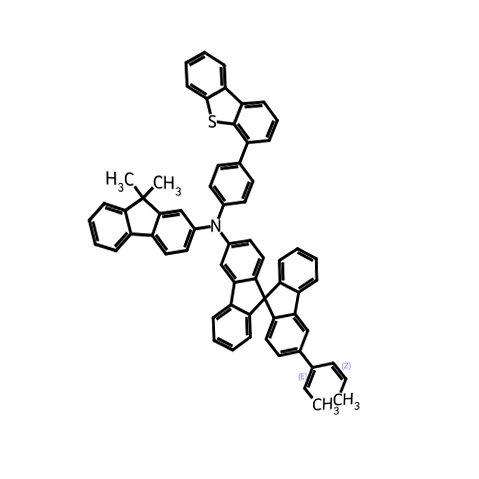 C/C=C\C(=C/C)c1ccc2c(c1)-c1ccccc1C21c2ccccc2-c2cc(N(c3ccc(-c4cccc5c4sc4ccccc45)cc3)c3ccc4c(c3)C(C)(C)c3ccccc3-4)ccc21